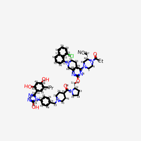 CCC(=O)N1CCN(c2nc(OC[C@@H]3CCCN3C(=O)C3CCN(Cc4ccc(-n5c(O)nnc5-c5cc(C(C)C)c(O)cc5O)cc4)CC3)nc3c2CCN(c2cccc4cccc(Cl)c24)C3)C[C@@H]1CC#N